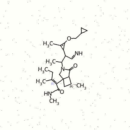 CC/C(C)=C(/C(=O)NC)C12C[C@@H](C)C1C(=O)N(C(C)C(C=N)C1C(C)=C1OCC1CC1)C2